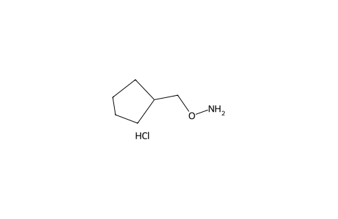 Cl.NOCC1CCCC1